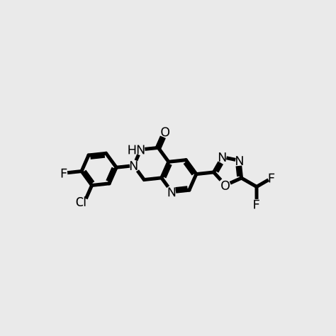 O=C1NN(c2ccc(F)c(Cl)c2)Cc2ncc(-c3nnc(C(F)F)o3)cc21